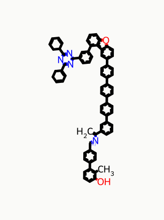 C=C(/N=C/c1ccc(-c2cccc(O)c2C)cc1)c1cccc(-c2ccc(-c3ccc(-c4ccc(-c5ccc6oc7cccc(-c8cccc(-c9nc(C%10=CC=CCC%10)nc(C%10C=CC=CC%10)n9)c8)c7c6c5)cc4)cc3)cc2)c1